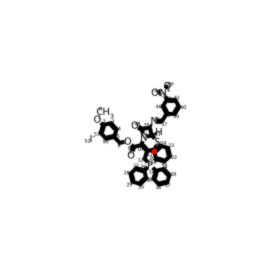 COc1ccc(COC(=O)C2=C(C[P+](c3ccccc3)(c3ccccc3)c3ccccc3)CS[C@H]3[C@H](N=Cc4cccc([N+](=O)[O-])c4)C(=O)N23)cc1.[I-]